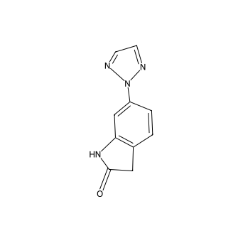 O=C1Cc2ccc(-n3nccn3)cc2N1